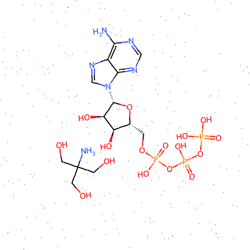 NC(CO)(CO)CO.Nc1ncnc2c1ncn2[C@@H]1O[C@H](COP(=O)(O)OP(=O)(O)OP(=O)(O)O)[C@@H](O)[C@H]1O